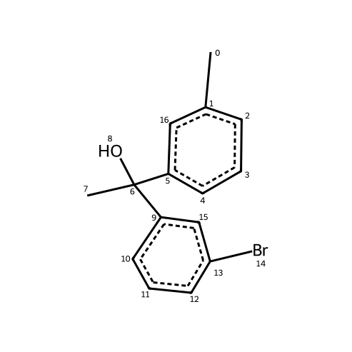 Cc1cccc(C(C)(O)c2cccc(Br)c2)c1